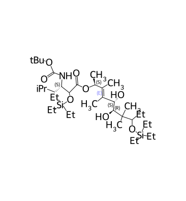 CCC(O[Si](CC)(CC)CC)C(C)(C)[C@@H](O)[C@@H](O)/C(C)=C(\C)[C@H](C)OC(=O)C(O[Si](CC)(CC)CC)[C@H](CC(C)C)NC(=O)OC(C)(C)C